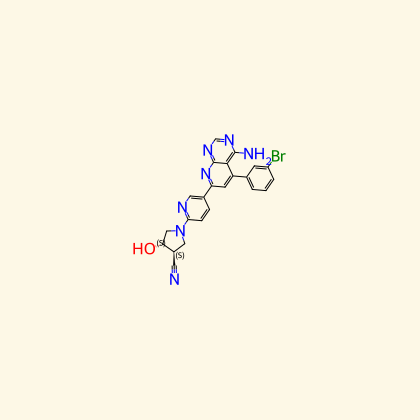 N#C[C@@H]1CN(c2ccc(-c3cc(-c4cccc(Br)c4)c4c(N)ncnc4n3)cn2)C[C@H]1O